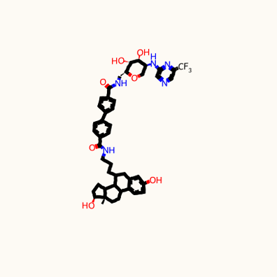 C[C@]12CCC3c4ccc(O)cc4CC(CCCNC(=O)c4ccc(-c5ccc(C(=O)NC[C@H]6OC[C@H](Nc7cncc(C(F)(F)F)n7)[C@@H](O)[C@H]6O)cc5)cc4)C3C1CC[C@@H]2O